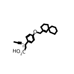 CC#C[C@@H](CC(=O)O)c1ccc(OCC2=CC3(CCCCC3)CCC2)cc1